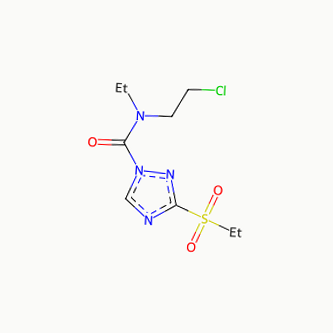 CCN(CCCl)C(=O)n1cnc(S(=O)(=O)CC)n1